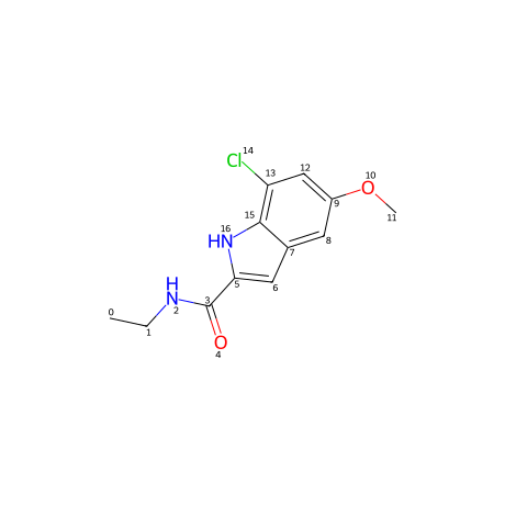 CCNC(=O)c1cc2cc(OC)cc(Cl)c2[nH]1